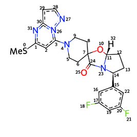 CSc1cc(N2CCC3(CC2)O[C@@H]2CC[C@@H](c4cc(F)cc(F)c4)N2C3=O)n2nccc2n1